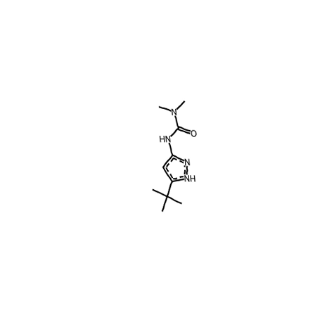 CN(C)C(=O)Nc1cc(C(C)(C)C)[nH]n1